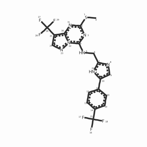 CSc1nc(NCc2ncc(-c3ccc(C(F)(F)F)cc3)[nH]2)n2ncc(C(F)(F)F)c2n1